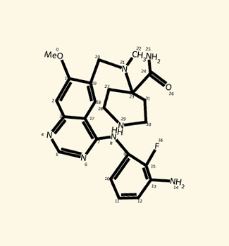 COc1cc2ncnc(Nc3cccc(N)c3F)c2cc1CN(C)C1(C(N)=O)CCNCC1